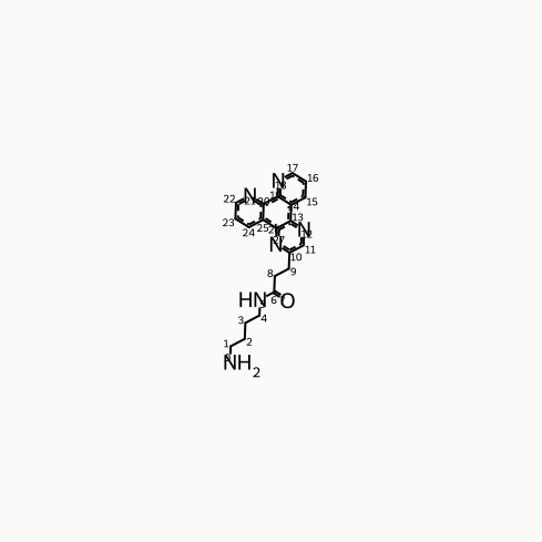 NCCCCNC(=O)CCc1cnc2c3cccnc3c3ncccc3c2n1